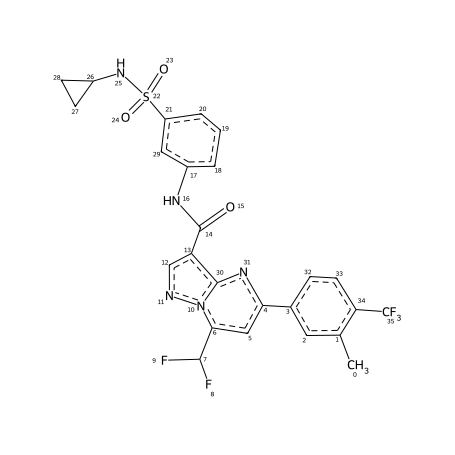 Cc1cc(-c2cc(C(F)F)n3ncc(C(=O)Nc4cccc(S(=O)(=O)NC5CC5)c4)c3n2)ccc1C(F)(F)F